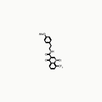 CCn1cc(C(=O)NCCc2ccc(OC)cc2)c(=O)c2cccc(C(F)(F)F)c21